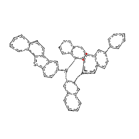 c1ccc(-c2ccc3cc(-c4cc5ccccc5cc4N(c4ccc5sc6c7ccccc7ccc6c5c4)c4cccc5ccccc45)ccc3c2)cc1